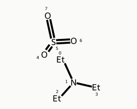 CCN(CC)CC.O=S(=O)=O